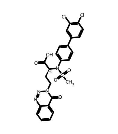 CS(=O)(=O)N(c1ccc(-c2ccc(Cl)c(Cl)c2)cc1)[C@@H](CCn1nnc2ccccc2c1=O)C(=O)O